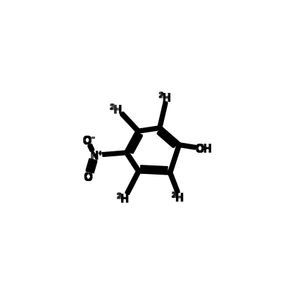 [2H]c1c([2H])c([N+](=O)[O-])c([2H])c([2H])c1O